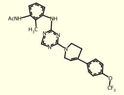 CC(=O)Nc1cccc(Nc2ncnc(N3CC=C(c4ccc(OC(F)(F)F)cc4)CC3)n2)c1C